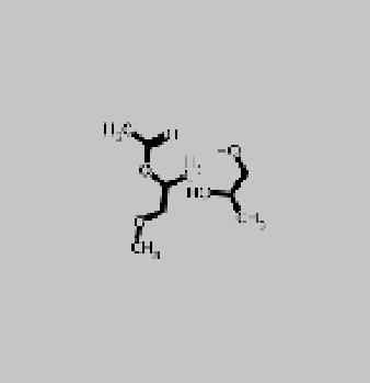 CC(O)CO.COCC(C)OC(C)=O